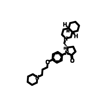 O=C1CC[C@@H](CN2CC[C@H]3CCCC[C@@H]3C2)N1c1ccc(OCCCN2CCCCC2)cc1